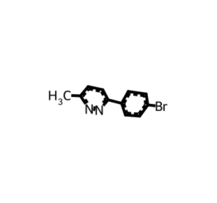 Cc1ccc(-c2ccc(Br)cc2)nn1